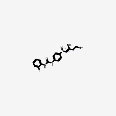 CC(C)CC/C(N)=C/N(N)c1ccc(NC(=O)Nc2ccccc2F)cc1